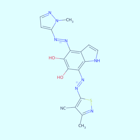 Cc1nsc(/N=N/c2c(O)c(O)c(/N=N/c3ccnn3C)c3cc[nH]c23)c1C#N